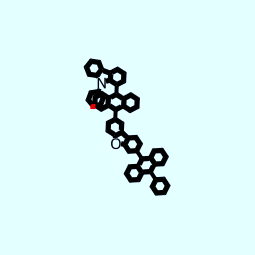 c1ccc(-c2c3ccccc3c(-c3ccc4c(c3)oc3ccc(-c5c6ccccc6c(-c6cccc7c8ccccc8n(-c8ccccc8)c67)c6ccccc56)cc34)c3ccccc23)cc1